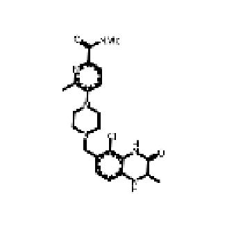 CNC(=O)c1ccc(N2CCN(Cc3ccc4c(c3Cl)NC(=O)C(C)N4)CC2)c(C)n1